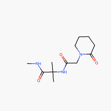 CNC(=O)C(C)(C)NC(=O)CN1CCCCC1=O